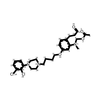 CC(=O)OCN(C)c1cc(OCCCCN2CCN(c3cccc(Cl)c3Cl)CC2)ccc1CCC=O